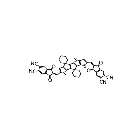 N#Cc1cc2c(cc1C#N)C(=O)C(=Cc1cc3c(s1)C1=C(c4sc5cc(C=C6C(=O)c7cc(C#N)c(C#N)cc7C6=O)sc5c4C14CCCCC4)C31CCCCC1)C2=O